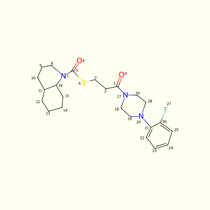 O=C(CCSC(=O)N1CCCC2CCCCC21)N1CCN(c2ccccc2F)CC1